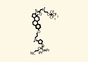 CC(C)N(C(C)C)P(OCCC#N)O[C@@H]1CCC(N(C)CCCOc2ccc3c(c2)CCC2C3CCC3(C)C2CCC3N(C)C(=O)CN(C)CCOC(C(F)(F)F)(C(F)(F)F)C(F)(F)F)C1